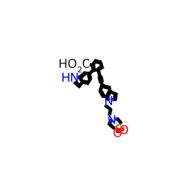 O=C(O)c1cccc(C#Cc2ccc3c(ccn3CCCN3CCS(=O)(=O)CC3)c2)c1-c1ccc2cc[nH]c2c1